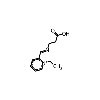 CC[n+]1ccccc1C=NCCC(=O)O